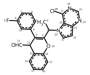 CC(C1=C(c2cccc(F)c2)C(C=O)c2ccccc2O1)n1ccc2ncnc(Cl)c21